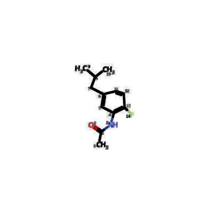 CC(=O)Nc1cc(CC(C)C)ccc1F